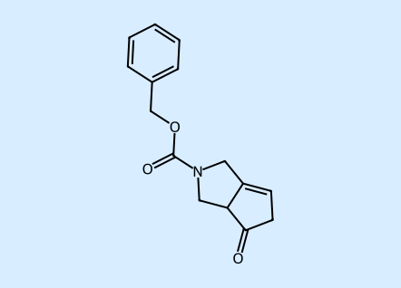 O=C1CC=C2CN(C(=O)OCc3ccccc3)CC12